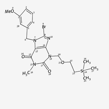 COc1cccc(Cn2c(Br)nc3c2c(=O)n(C)c(=O)n3COCC[Si](C)(C)C)c1